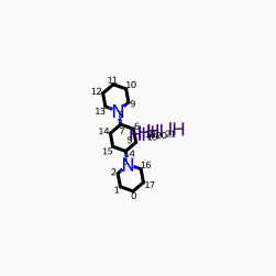 C1CCN(C2CCC(N3CCCCC3)CC2)CC1.I.I.I.I